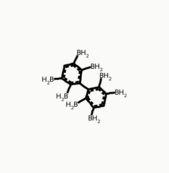 Bc1cc(B)c(B)c(-c2c(B)c(B)cc(B)c2B)c1B